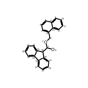 [O]C(OCc1cccc2ccccc12)C1c2ccccc2-c2ccccc21